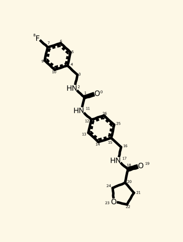 O=C(NCc1ccc(F)cc1)Nc1ccc(CNC(=O)C2CCOC2)cc1